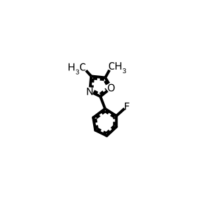 Cc1nc(-c2ccccc2F)oc1C